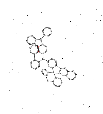 c1ccc(-c2ccccc2N(c2ccc3c(c2)C2(c4ccccc4Sc4ccccc42)c2cc4ccccc4cc2-3)c2ccc3c(c2)c2ccccc2n3-c2ccccc2)cc1